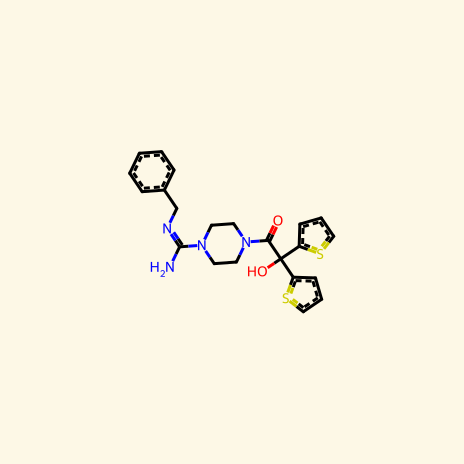 NC(=NCc1ccccc1)N1CCN(C(=O)C(O)(c2cccs2)c2cccs2)CC1